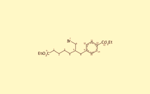 CCOC(=O)CCCCC(CBr)Cc1ccc(C(=O)OCC)cc1